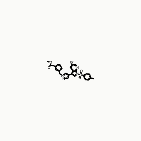 COC(=O)c1cccc(Cn2cc(-c3cn(S(=O)(=O)c4ccc(C)cc4)c4ncc(Br)cc34)cn2)c1